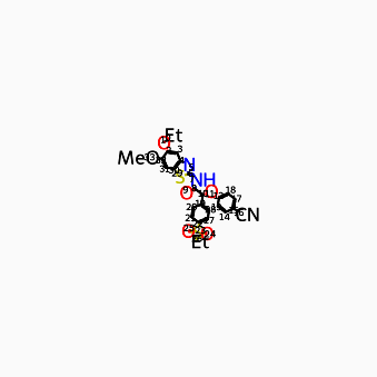 CCOc1cc2nc(NC(=O)C(Oc3ccc(C#N)cc3)c3ccc(S(=O)(=O)CC)cc3)sc2cc1OC